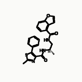 Cc1nc(C(=O)N[C@@H](C)CNC(=O)c2cccc3occc23)c(-c2ccccc2)s1